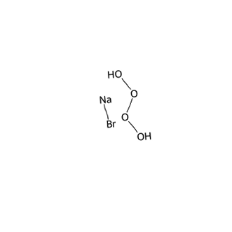 OOOO.[Na][Br]